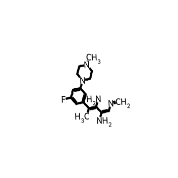 C=N/C=C(N)\C(N)=C(/C)c1cc(F)cc(N2CCN(C)CC2)c1